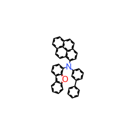 c1ccc(-c2cccc(N(c3ccc4ccc5cccc6ccc3c4c56)c3cccc4c3oc3ccccc34)c2)cc1